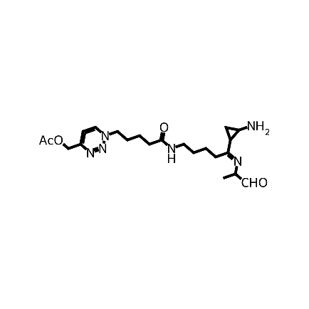 CC(=O)OCC1=C=CN(CCCCC(=O)NCCCC/C(=N\C(C)C=O)C2CC2N)N=N1